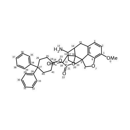 COc1ccc2c3c1OCC31CCC(N)C(C2)C1(CCC=O)OS(=O)OC1CCC(c2ccccc2)(c2ccccc2)CC1